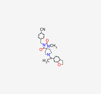 C[C@@H](c1ccc2c(c1)OCC2)N1CCC2(CC1)C(=O)N(Cc1ccc(C#N)cc1)C(=O)N2C